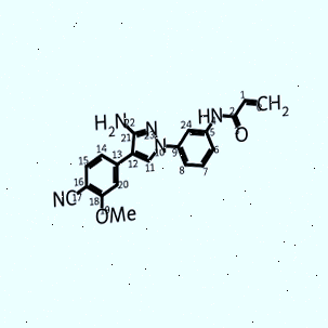 C=CC(=O)Nc1cccc(-n2cc(-c3ccc(C#N)c(OC)c3)c(N)n2)c1